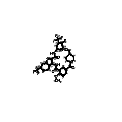 COc1ccc(C(=O)N2CCC(CO)CC2)cc1C(=O)Nc1c(C(=O)Nc2ccc(F)c(C(F)(F)F)c2)sc2cc(C(F)(F)F)ccc12